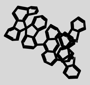 c1ccc(-c2nc3ccccc3n2-c2cccc3c(-c4cccc5c4-c4ccccc4C54c5ccccc5-c5ccc6ccccc6c54)c4cccc(-n5c(-c6ccccc6)nc6ccccc65)c4cc23)cc1